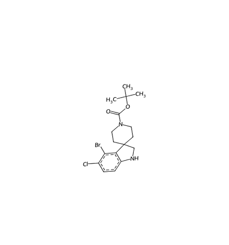 CC(C)(C)OC(=O)N1CCC2(CC1)CNc1ccc(Cl)c(Br)c12